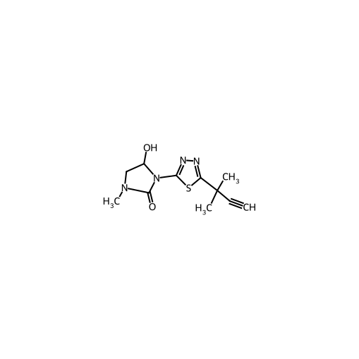 C#CC(C)(C)c1nnc(N2C(=O)N(C)CC2O)s1